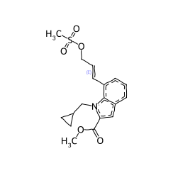 COC(=O)c1cc2cccc(/C=C/COS(C)(=O)=O)c2n1CC1CC1